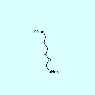 CCCCCCCCCCCC[CH]OCCCCCCCCCC